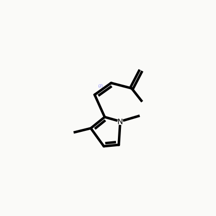 C=C(C)/C=C\c1c(C)ccn1C